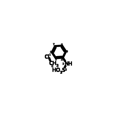 CCl.O=S(=O)(O)Nc1ccccc1